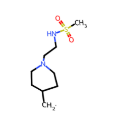 [CH2]C1CCN(CCNS(C)(=O)=O)CC1